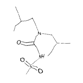 CC(C)CN(CC(C)C)C(=O)NS(C)(=O)=O